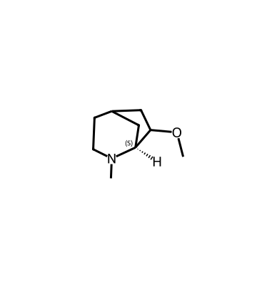 COC1CC2CCN(C)[C@H]1C2